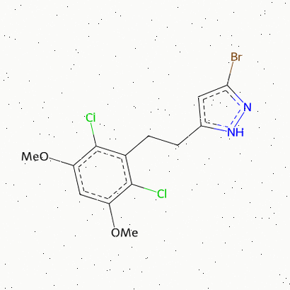 COc1cc(OC)c(Cl)c(CCc2cc(Br)n[nH]2)c1Cl